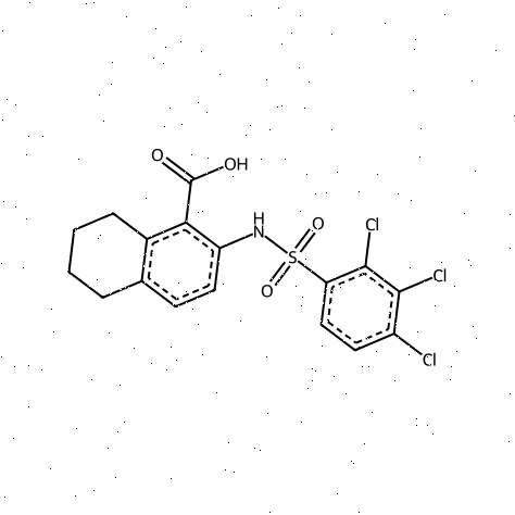 O=C(O)c1c(NS(=O)(=O)c2ccc(Cl)c(Cl)c2Cl)ccc2c1CCCC2